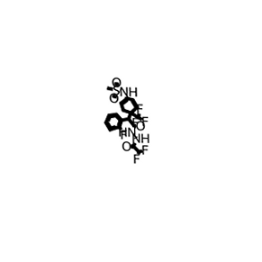 CS(=O)(=O)NC1=CCC(C(C(=O)NNC(=O)C(F)F)c2ccccc2F)(C(F)(F)F)C=C1